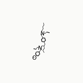 C=CCN(CCCCC)Cc1ccc(CC(CCC)CN(CC=C)Cc2ccc(OC)cc2)cc1